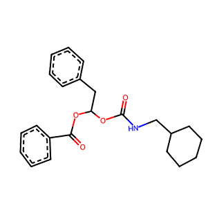 O=C(NCC1CCCCC1)OC(Cc1ccccc1)OC(=O)c1ccccc1